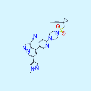 CC#CC1(CS(=O)(=O)N2CCN(c3ccc(-c4cc(-c5cnn(C)c5)cn5ncc(C#N)c45)cn3)CC2)CC1